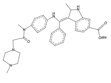 COC(=O)c1ccc2c(c1)NC(C)/C2=C(\Nc1ccc(N(C)C(=O)CN2CCN(C)CC2)cc1)c1ccccc1